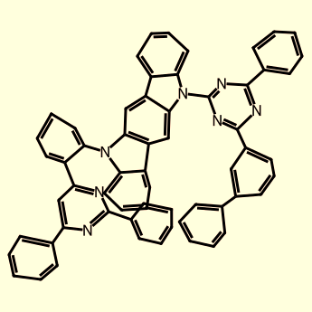 c1ccc(-c2cccc(-c3nc(-c4ccccc4)nc(-n4c5ccccc5c5cc6c(cc54)c4ccccc4n6-c4ccccc4-c4cc(-c5ccccc5)nc(-c5ccccc5)n4)n3)c2)cc1